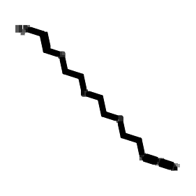 [N-]=[N+]=NCCOCCOCCOC=CN